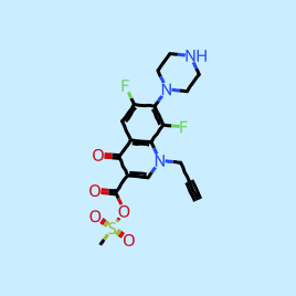 C#CCn1cc(C(=O)OS(C)(=O)=O)c(=O)c2cc(F)c(N3CCNCC3)c(F)c21